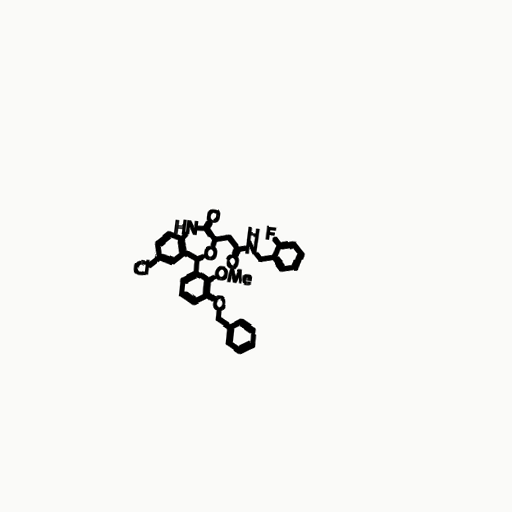 COc1c(OCc2ccccc2)cccc1C1OC(CC(=O)NCc2ccccc2F)C(=O)Nc2ccc(Cl)cc21